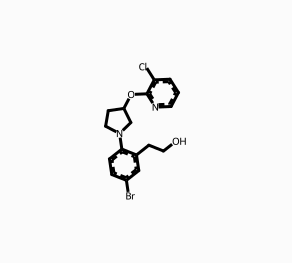 OCCc1cc(Br)ccc1N1CCC(Oc2ncccc2Cl)C1